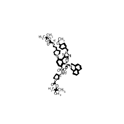 COc1ccc(Cn2nnc(-c3c(N4CCC(CCNC(=O)OC(C)(C)C)CC4)ccc(S(=O)(=O)N[C@@H]4CCN(C(=O)OC(C)(C)C)C4)c3S(=O)(=O)N(Cc3ccccc3)Cc3ccccc3)n2)cc1